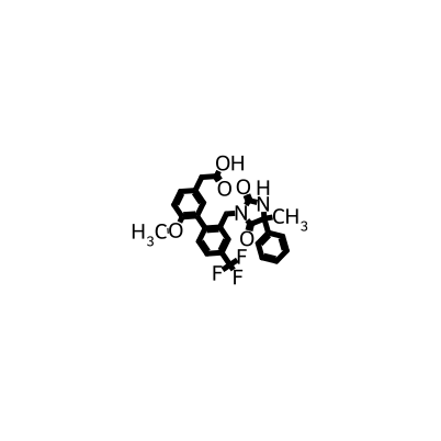 COc1ccc(CC(=O)O)cc1-c1ccc(C(F)(F)F)cc1CN1C(=O)NC(C)(c2ccccc2)C1=O